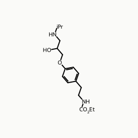 CCOC(=O)NCCc1ccc(OCC(O)CNC(C)C)cc1